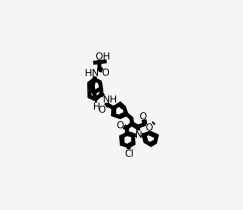 COC(=O)c1c(Cc2ccc(C(=O)NC3C4CC5C[C@@H]3CC(NC(=O)C(C)(C)O)(C5)C4)cc2)c(=O)c2ccc(Cl)cc2n1-c1ccccc1